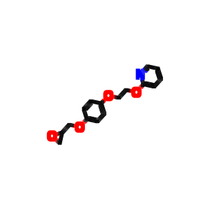 c1ccc(OCCOc2ccc(OCC3CO3)cc2)nc1